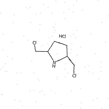 Cl.ClCC1CCC(CCl)N1